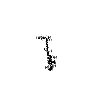 CN(CCS(=O)(=O)O)C(=O)CCCCCCC(=O)NCCCc1cc(O)c(Cc2cccc(NS(=O)(=O)c3ncc[nH]3)c2C2CC2)c(=O)o1